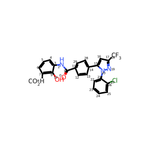 O=C(Nc1cccc(C(=O)O)c1O)c1ccc(-c2cc(C(F)(F)F)nn2-c2ccccc2Cl)cc1